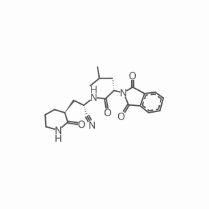 CC(C)C[C@@H](C(=O)N[C@H](C#N)C[C@@H]1CCCNC1=O)N1C(=O)c2ccccc2C1=O